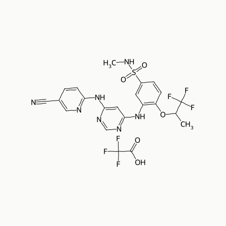 CNS(=O)(=O)c1ccc(OC(C)C(F)(F)F)c(Nc2cc(Nc3ccc(C#N)cn3)ncn2)c1.O=C(O)C(F)(F)F